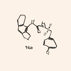 O=C(Nc1c2c(cc3c1CCC3)CCC2)NS(=O)(=O)Cc1ccc(Cl)cc1.[Na]